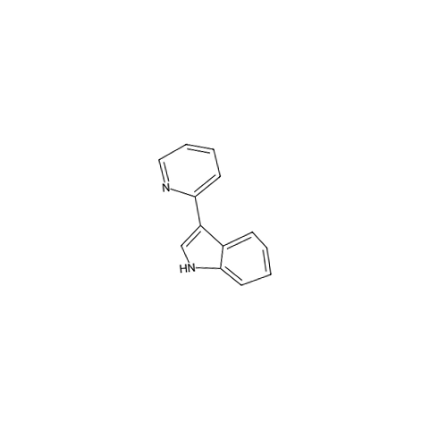 c1ccc(-c2c[nH]c3ccccc23)nc1